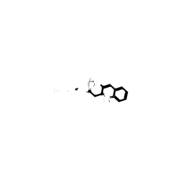 CCOC(=O)Cc1nc2ccccc2cc1Br